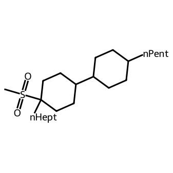 CCCCCCCC1(S(C)(=O)=O)CCC(C2CCC(CCCCC)CC2)CC1